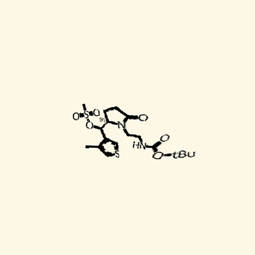 Cc1cscc1C(OS(C)(=O)=O)[C@H]1CCC(=O)N1CCNC(=O)OC(C)(C)C